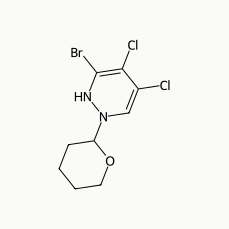 ClC1=CN(C2CCCCO2)NC(Br)=C1Cl